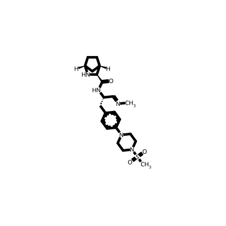 C/N=C/[C@H](Cc1ccc(N2CCN(S(C)(=O)=O)CC2)cc1)NC(=O)[C@H]1N[C@@H]2CC[C@H]1C2